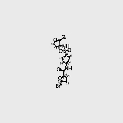 O=C(Nc1ccc(S(=O)(=O)N[C@H]2CCOC2=O)cc1)c1ccc(Br)o1